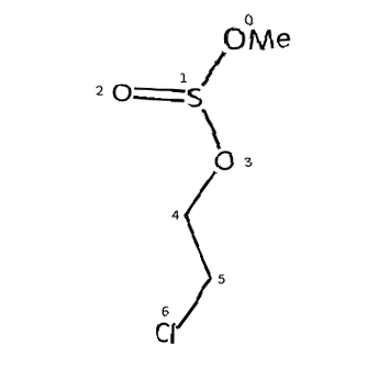 COS(=O)OCCCl